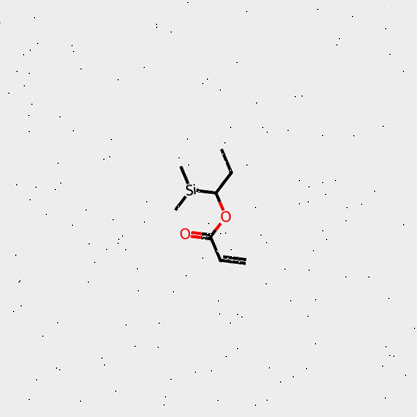 C=CC(=O)OC(CC)[Si](C)C